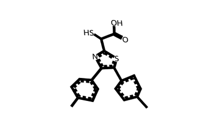 Cc1ccc(-c2nc(C(S)C(=O)O)sc2-c2ccc(C)cc2)cc1